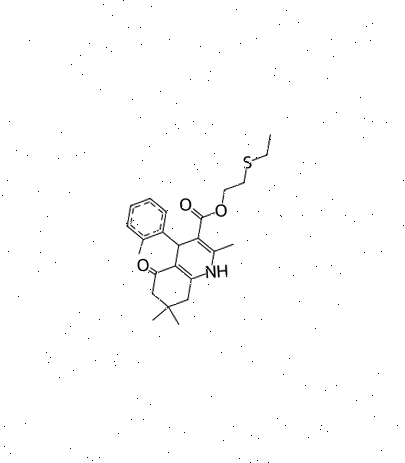 CCSCCOC(=O)C1=C(C)NC2=C(C(=O)CC(C)(C)C2)C1c1ccccc1C